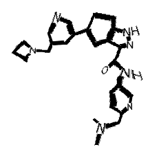 CN(C)Cc1ccc(NC(=O)c2n[nH]c3ccc(-c4cncc(CN5CCC5)c4)cc23)cn1